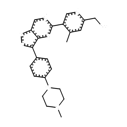 CNCc1cc(C)c(-c2ncc3[nH]nc(-c4ccc(N5CCN(C)CC5)cc4)c3n2)cn1